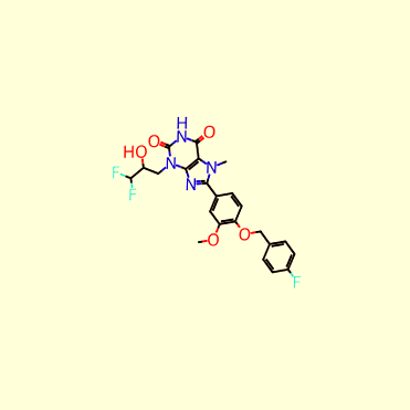 COc1cc(-c2nc3c(c(=O)[nH]c(=O)n3CC(O)C(F)F)n2C)ccc1OCc1ccc(F)cc1